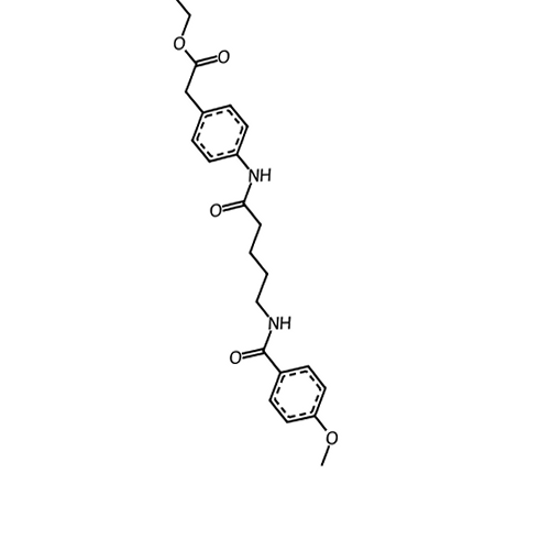 CCOC(=O)Cc1ccc(NC(=O)CCCCNC(=O)c2ccc(OC)cc2)cc1